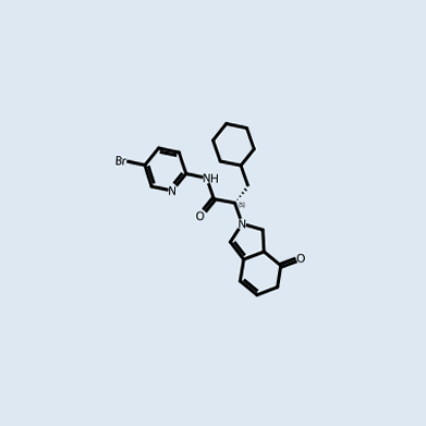 O=C1CC=CC2=CN([C@@H](CC3CCCCC3)C(=O)Nc3ccc(Br)cn3)CC12